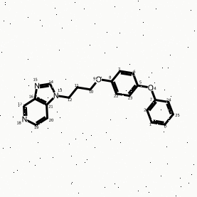 c1ccc(Oc2ccc(OCCCn3cnc4cnccc43)cc2)cc1